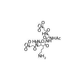 CC(=O)NC(CNC(=O)CCN1C(=O)C=CC1=O)C(=O)NCC(=O)C(CCCCN)C(CNC(=O)CCN1C(=O)C=CC1=O)C(N)=O